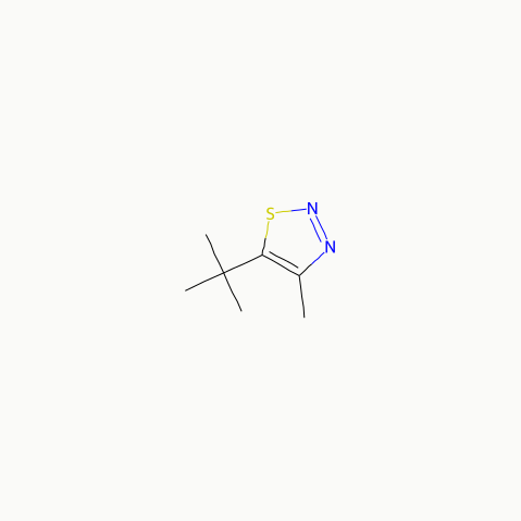 Cc1nnsc1C(C)(C)C